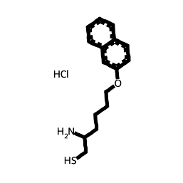 Cl.NC(CS)CCCCOc1ccc2ccccc2c1